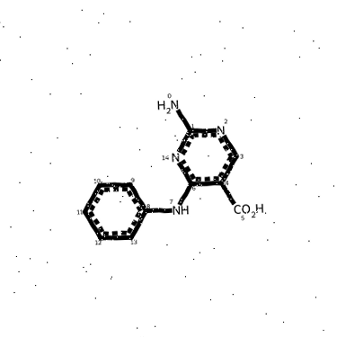 Nc1ncc(C(=O)O)c(Nc2ccccc2)n1